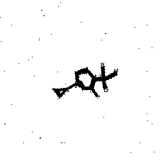 [CH2]c1cc(C2CC2)ccc1C(C)(C)C